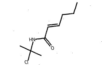 CCCC=CC(=O)NC(C)(C)Cl